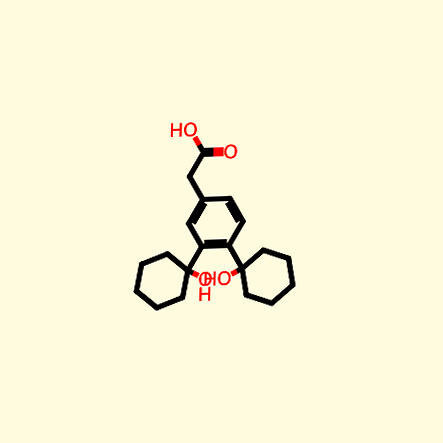 O=C(O)Cc1ccc(C2(O)CCCCC2)c(C2(O)CCCCC2)c1